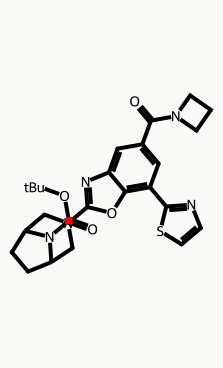 CC(C)(C)OC(=O)N1C2CCC1CN(c1nc3cc(C(=O)N4CCC4)cc(-c4nccs4)c3o1)C2